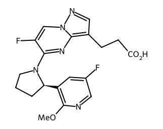 COc1ncc(F)cc1[C@H]1CCCN1c1nc2c(CCC(=O)O)cnn2cc1F